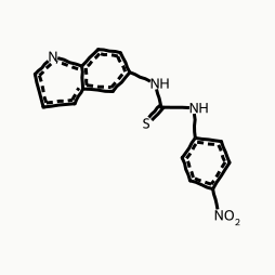 O=[N+]([O-])c1ccc(NC(=S)Nc2ccc3ncccc3c2)cc1